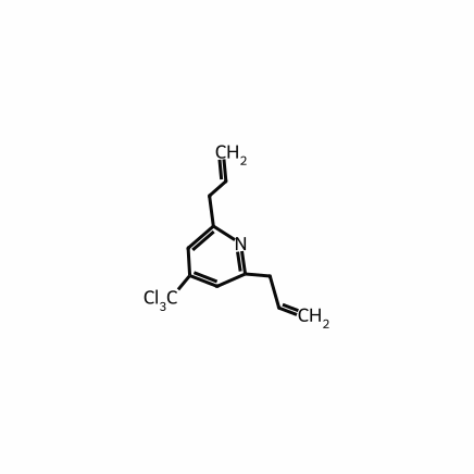 C=CCc1cc(C(Cl)(Cl)Cl)cc(CC=C)n1